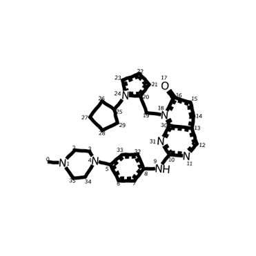 CN1CCN(c2ccc(Nc3ncc4ccc(=O)n(Cc5cccn5C5CCCC5)c4n3)cc2)CC1